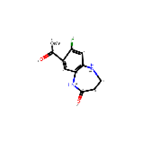 COC(=O)c1cc2c(cc1F)NCCC(=O)N2